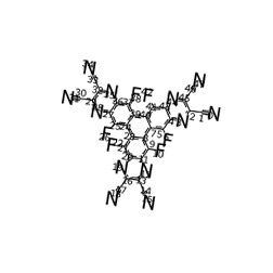 N#Cc1nc2c(F)c3c4c(F)c5nc(C#N)c(C#N)nc5c(F)c4c4c(F)c5nc(C#N)c(C#N)nc5c(F)c4c3c(F)c2nc1C#N